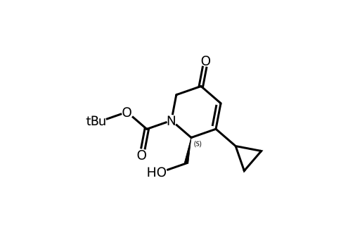 CC(C)(C)OC(=O)N1CC(=O)C=C(C2CC2)[C@H]1CO